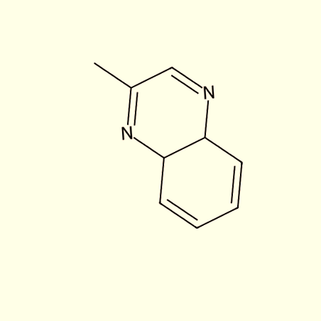 CC1=NC2C=CC=CC2N=C1